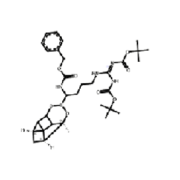 CC(C)(C)OC(=O)/N=C(/NCCCC(NC(=O)OCc1ccccc1)B1OC2C3[C@@H]4C[C@H]5C34C2[C@@]5(C)O1)NC(=O)OC(C)(C)C